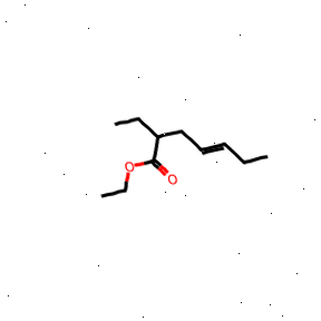 CCC=CCC(CC)C(=O)OCC